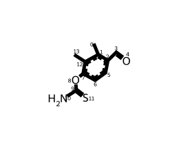 Cc1c(C=O)ccc(OC(N)=S)c1C